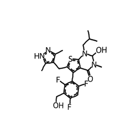 Cc1n[nH]c(C)c1Cc1sc2c(c1-c1c(F)cc(F)c(CO)c1F)C(=O)N(C)C(O)N2CC(C)C